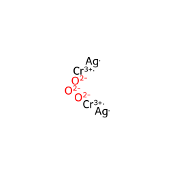 [Ag].[Ag].[Cr+3].[Cr+3].[O-2].[O-2].[O-2]